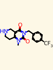 Cn1c2c(c(=O)n(Cc3ccc(C(F)(F)F)cc3)c1=O)CNCC2